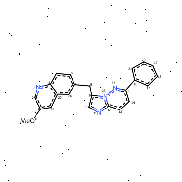 COc1cnc2ccc(Cc3cnc4ccc(-c5ccccc5)nn34)cc2c1